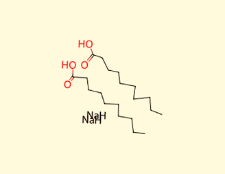 CCCCCCCCCC(=O)O.CCCCCCCCCC(=O)O.[NaH].[NaH]